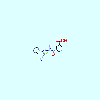 N#Cc1sc(NC(=O)C2CCCC(C(=O)O)C2)nc1-c1ccccc1F